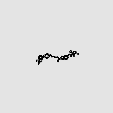 CS(=O)(=O)OCc1ccc2c(c1)CN(C(=O)CCCCCN1CCN(c3cccc(C(F)(F)F)c3)CC1)C2